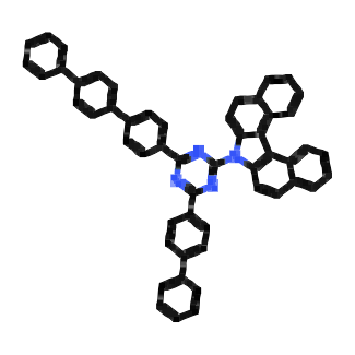 c1ccc(-c2ccc(-c3ccc(-c4nc(-c5ccc(-c6ccccc6)cc5)nc(-n5c6ccc7ccccc7c6c6c7ccccc7ccc65)n4)cc3)cc2)cc1